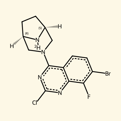 [2H]N1[C@@H]2CC[C@H]1CN(c1nc(Cl)nc3c(F)c(Br)ccc13)C2